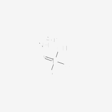 N.O=P([O-])([O-])O.[Ag+2]